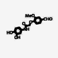 COc1cc(C=O)ccc1OCC(=O)Nc1ccc(O)c(O)c1